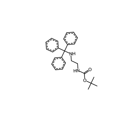 CC(C)(C)OC(=O)NCCNC(c1ccccc1)(c1ccccc1)c1ccccc1